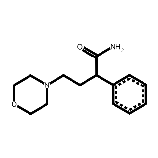 NC(=O)C(CCN1CCOCC1)c1ccccc1